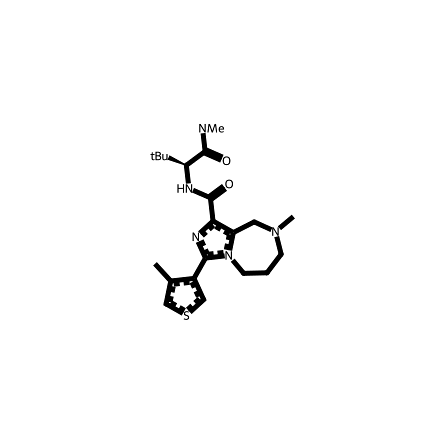 CNC(=O)[C@@H](NC(=O)c1nc(-c2cscc2C)n2c1CN(C)CCC2)C(C)(C)C